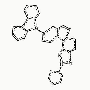 c1ccc(-n2nc3ccc4ccc5cc(-n6c7ccccc7c7ccccc76)ccc5c4c3n2)cc1